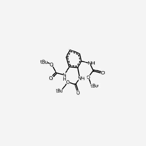 CC(C)(C)OC(=O)Nc1c[c]cc(NC(=O)OC(C)(C)C)c1NC(=O)OC(C)(C)C